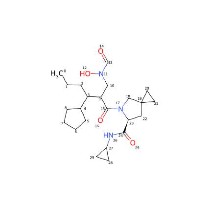 CCCC(C1CCCC1)C(CN(O)C=O)C(=O)N1CC2(CC2)C[C@H]1C(=O)NC1CC1